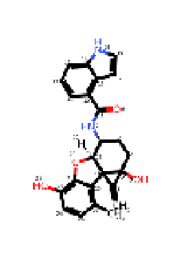 C=C1C2(O)CC[C@H](NC(=O)c3cccc4[nH]ccc34)[C@@H]3Oc4c(O)ccc(C)c4C132